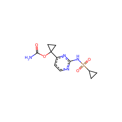 NC(=O)OC1(c2ccnc(NS(=O)(=O)C3CC3)n2)CC1